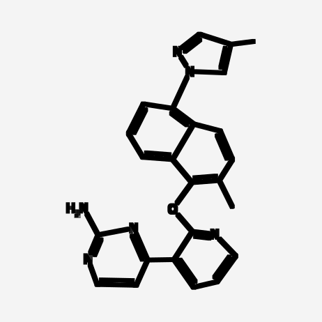 Cc1cnn(-c2cccc3c(Oc4ncccc4-c4ccnc(N)n4)c(C)ccc23)c1